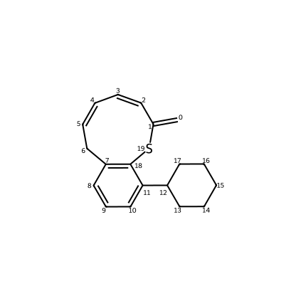 C=C1/C=C\C=C/Cc2cccc(C3CCCCC3)c2S1